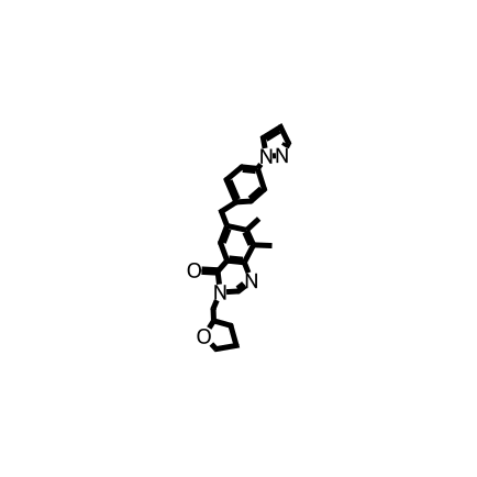 Cc1c(Cc2ccc(-n3cccn3)cc2)cc2c(=O)n(CC3CCCO3)cnc2c1C